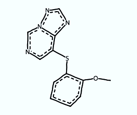 COc1ccccc1Sc1cncn2ncnc12